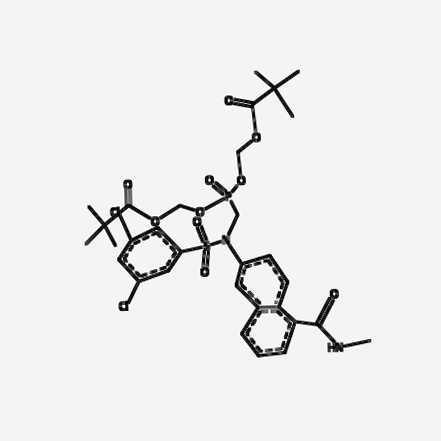 CNC(=O)c1cccc2cc(N(CP(=O)(OCOC(=O)C(C)(C)C)OCOC(=O)C(C)(C)C)S(=O)(=O)c3cc(Cl)cc(Cl)c3)ccc12